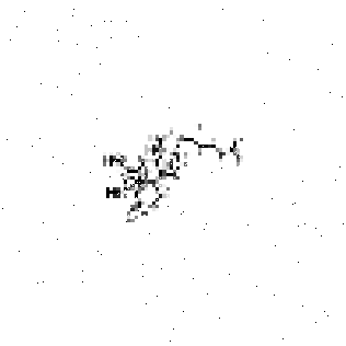 CC(C)CCC[C@@H](C)[C@H]1CC[C@H]2[C@@H]3CC(OO)C4(OO)CC(O)CC[C@]4(C)[C@H]3CC[C@]12C